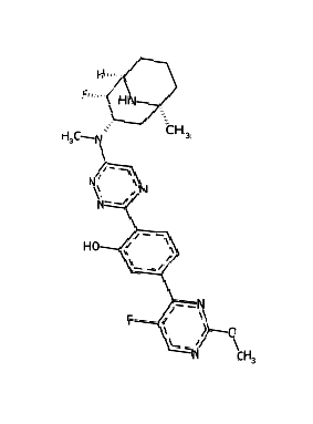 COc1ncc(F)c(-c2ccc(-c3ncc(N(C)[C@H]4C[C@]5(C)CCC[C@@H](N5)[C@H]4F)nn3)c(O)c2)n1